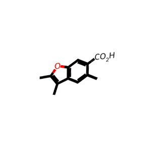 Cc1cc2c(C)c(C)oc2cc1C(=O)O